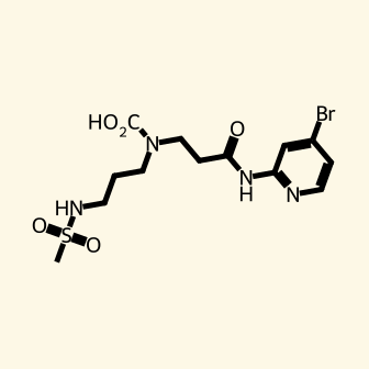 CS(=O)(=O)NCCCN(CCC(=O)Nc1cc(Br)ccn1)C(=O)O